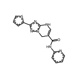 O=C(Nc1ccccn1)C1=CNc2nc(-c3cccs3)nn2C1